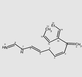 C=C(/C=C\C/C=C/NC=N)C(/C=C\C)=C/CC